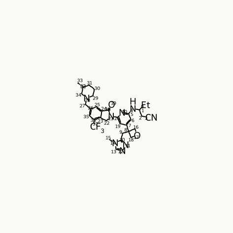 CCC(CC#N)Nc1cc(C2(Cc3nncn3C)COC2)cc(N2Cc3c(cc(CN4CCC[C@H](C)C4)cc3C(F)(F)F)C2=O)n1